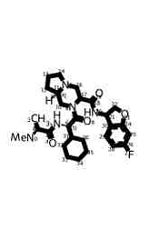 CN[C@@H](C)C(=O)N[C@H](C(=O)N1C[C@H]2CCCN2CC1C(=O)NC1COc2cc(F)ccc21)C1CCCCC1